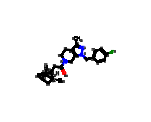 Cc1nn(Cc2ccc(F)cc2)c2c1CCN(C(=O)CC1C3C4C[C@H]1[C@@H](C(=O)O)C43)C2